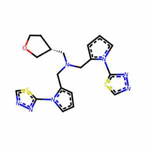 c1cc(CN(Cc2cccn2-c2nncs2)C[C@H]2CCOC2)n(-c2nncs2)c1